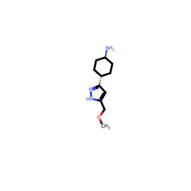 COCc1cc([C@H]2CC[C@H](N)CC2)n[nH]1